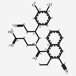 CCc1c(C#N)cc2ccccc2c1C(=O)N(CCC(=O)O)CC(CC=O)c1ccc(Cl)c(Cl)c1